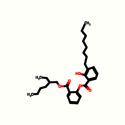 CCCCCCCCc1cccc(C(=O)Oc2ccccc2C(=O)OCC(CC)CCCC)c1O